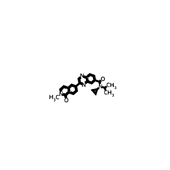 CC(C)N(C(=O)c1ccc2ncc(-c3ccc4c(=O)n(C)ccc4c3)nc2c1)C1CC1